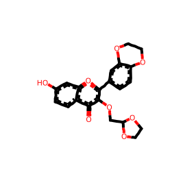 O=c1c(OCC2OCCO2)c(-c2ccc3c(c2)OCCO3)oc2cc(O)ccc12